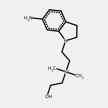 C[N+](C)(CCO)CCN1CCc2ccc(N)cc21